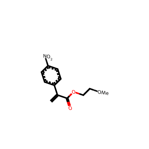 C=C(C(=O)OCCOC)c1ccc([N+](=O)[O-])cc1